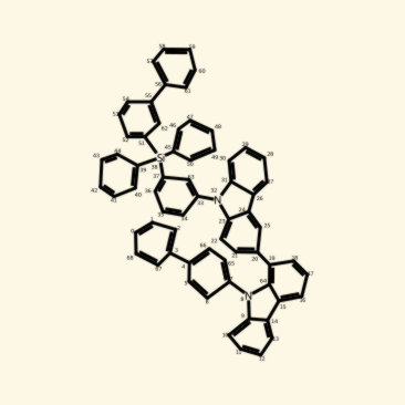 c1ccc(-c2ccc(-n3c4ccccc4c4cccc(-c5ccc6c(c5)c5ccccc5n6-c5cccc([Si](c6ccccc6)(c6ccccc6)c6cccc(-c7ccccc7)c6)c5)c43)cc2)cc1